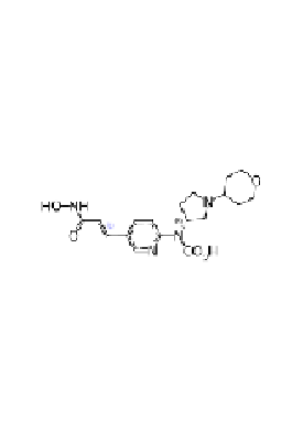 O=C(/C=C/c1ccc(N(C(=O)O)[C@@H]2CCN(C3CCOCC3)C2)nc1)NO